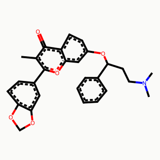 Cc1c(-c2ccc3c(c2)OCO3)oc2cc(OC(CCN(C)C)c3ccccc3)ccc2c1=O